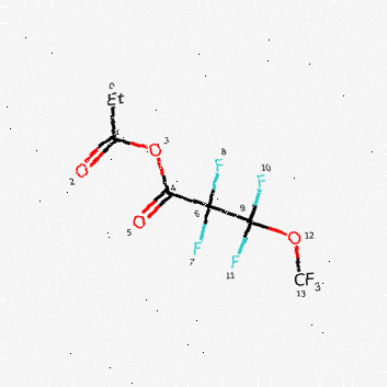 CCC(=O)OC(=O)C(F)(F)C(F)(F)OC(F)(F)F